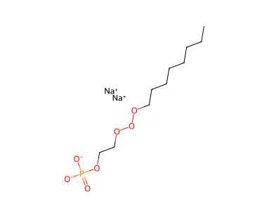 CCCCCCCCOOOCCOP(=O)([O-])[O-].[Na+].[Na+]